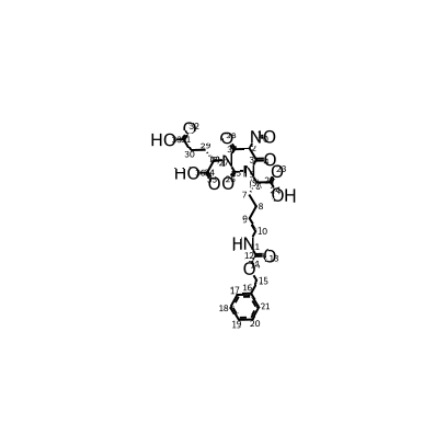 O=NC1C(=O)N([C@@H](CCCCNC(=O)OCc2ccccc2)C(=O)O)C(=O)N([C@@H](CCC(=O)O)C(=O)O)C1=O